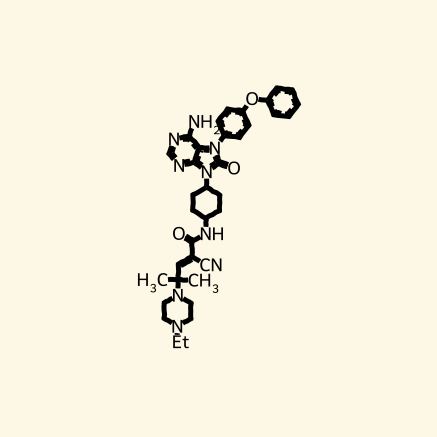 CCN1CCN(C(C)(C)/C=C(\C#N)C(=O)NC2CCC(n3c(=O)n(-c4ccc(Oc5ccccc5)cc4)c4c(N)ncnc43)CC2)CC1